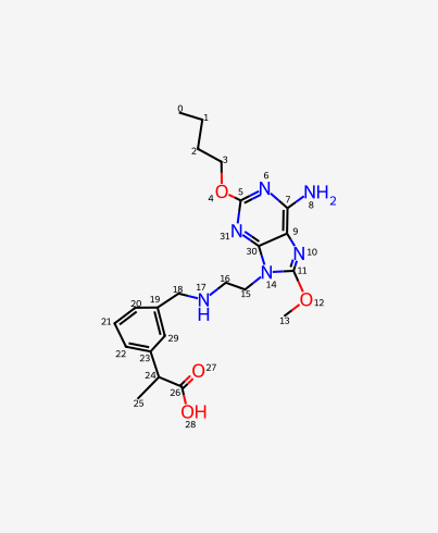 CCCCOc1nc(N)c2nc(OC)n(CCNCc3cccc(C(C)C(=O)O)c3)c2n1